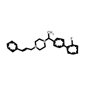 CC(c1ccc(-c2ccccc2F)cc1)N1CCN(CC=Cc2ccccc2)CC1